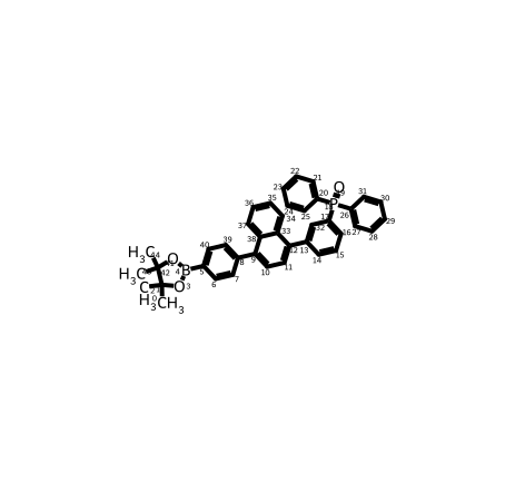 CC1(C)OB(c2ccc(-c3ccc(-c4cccc(P(=O)(c5ccccc5)c5ccccc5)c4)c4ccccc34)cc2)OC1(C)C